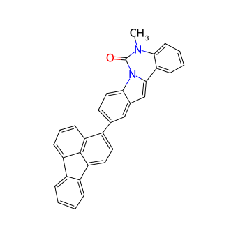 Cn1c(=O)n2c3ccc(-c4ccc5c6c(cccc46)-c4ccccc4-5)cc3cc2c2ccccc21